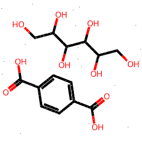 O=C(O)c1ccc(C(=O)O)cc1.OCC(O)C(O)C(O)C(O)CO